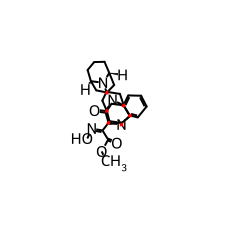 COC(=O)/C(=N\O)c1nc2ccccc2n([C@H]2C[C@H]3CCC[C@@H](C2)N3C2CC3CCCC(C3)C2)c1=O